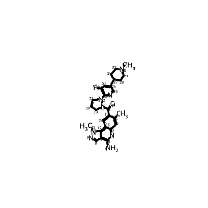 Cc1cc2nc(N)c3cnn(C)c3c2cc1C(=O)N1CCCN1c1ncc(C2CCN(C)CC2)cc1F